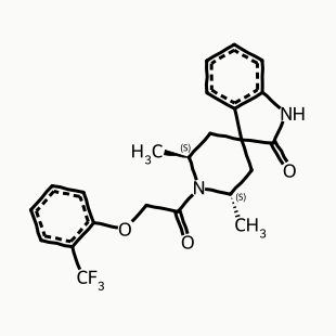 C[C@H]1CC2(C[C@H](C)N1C(=O)COc1ccccc1C(F)(F)F)C(=O)Nc1ccccc12